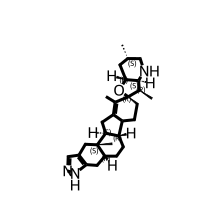 CC1=C2C[C@H]3[C@@H](CC[C@@H]4Cc5[nH]ncc5C[C@@]43C)C2CC[C@]12O[C@@H]1C[C@H](C)CN[C@H]1[C@H]2C